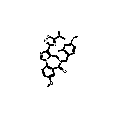 COc1ccc(CN2Cc3c(-c4noc(C(C)C)n4)ncn3-c3ccc(OC)cc3C2=O)c(C)c1